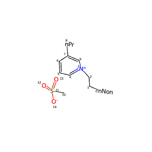 CCCCCCCCCCC[n+]1cccc(CCC)c1.CS(=O)(=O)[O-]